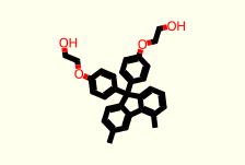 Cc1ccc2c(c1)-c1c(C)cccc1C2(c1ccc(OCCO)cc1)c1ccc(OCCO)cc1